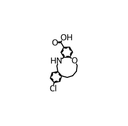 O=C(O)c1ccc2c(c1)NCc1ccc(Cl)cc1CCCCO2